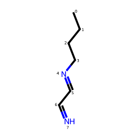 CCCCN=CC=N